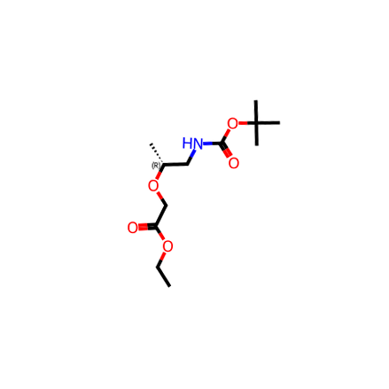 CCOC(=O)CO[C@H](C)CNC(=O)OC(C)(C)C